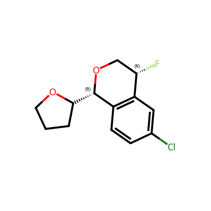 F[C@H]1CO[C@@H](C2CCCO2)c2ccc(Cl)cc21